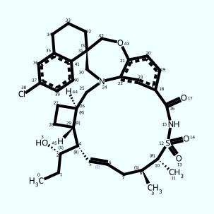 CC[C@H](O)[C@H]1/C=C/C[C@H](C)[C@@H](C)S(=O)(=O)NC(=O)c2ccc3c(c2)N(C[C@@H]2CC[C@H]21)C[C@@]1(CCCc2cc(Cl)ccc21)CO3